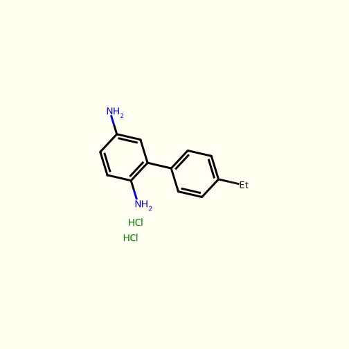 CCc1ccc(-c2cc(N)ccc2N)cc1.Cl.Cl